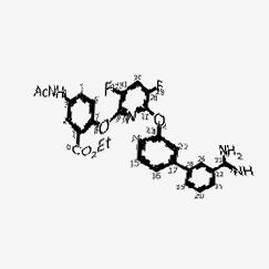 CCOC(=O)c1cc(NC(C)=O)ccc1Oc1nc(Oc2cccc(-c3cccc(C(=N)N)c3)c2)c(F)cc1F